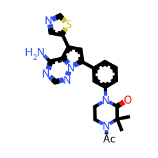 CC(=O)N1CCN(c2cccc(-c3cc(-c4cncs4)c4c(N)ncnn34)c2)C(=O)C1(C)C